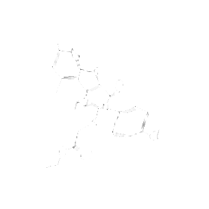 CCOC(=O)CSc1nc2c(sc3nc(C)cc(C)c32)c(=O)n1-c1ccc(Cl)cc1